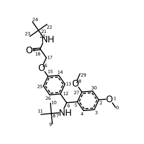 COc1ccc(C(NC(C)(C)C)c2ccc(OCC(=O)NC(C)(C)C)cc2)c(OC)c1